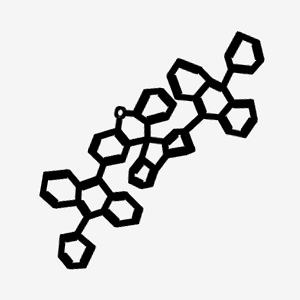 c1ccc(-c2c3ccccc3c(-c3ccc4c(c3)C3(c5ccccc5O4)c4ccccc4-c4ccc(-c5c6ccccc6c(-c6ccccc6)c6ccccc56)cc43)c3ccccc23)cc1